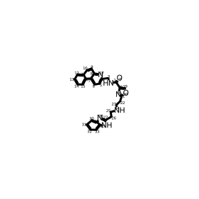 O=C(NCc1ccc2c(ccc3ccccc32)n1)c1coc(CCNCCc2nc3ccccc3[nH]2)n1